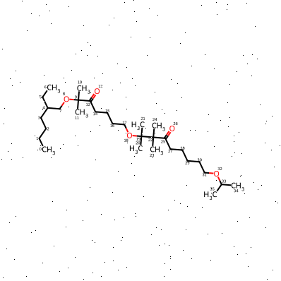 CCCCC(CC)COC(C)(C)C(=O)CCCCOC(C)(C)C(C)(C)C(=O)CCCCCOC(C)C